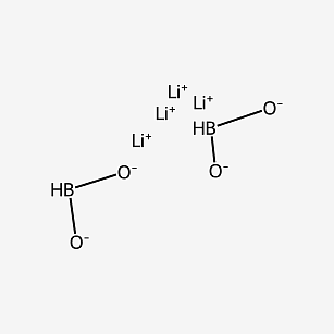 [Li+].[Li+].[Li+].[Li+].[O-]B[O-].[O-]B[O-]